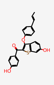 C/C=C/c1ccc(Oc2c(C(=O)c3ccc(O)cc3)sc3cc(O)ccc23)cc1